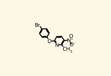 Cc1nc(Oc2ccc(Br)cc2)ccc1[N+](=O)[O-]